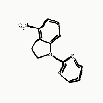 O=[N+]([O-])c1cccc2c1CCN2c1ncccn1